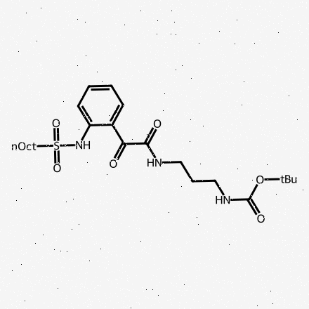 CCCCCCCCS(=O)(=O)Nc1ccccc1C(=O)C(=O)NCCCNC(=O)OC(C)(C)C